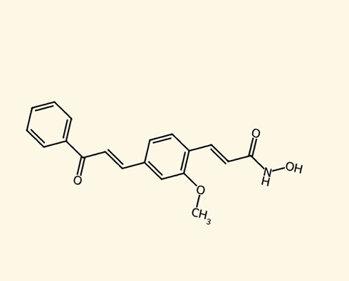 COc1cc(/C=C/C(=O)c2ccccc2)ccc1/C=C/C(=O)NO